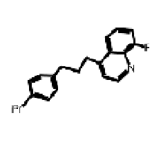 CC(C)c1ccc(CCCc2ccnc3c(F)cccc23)cc1